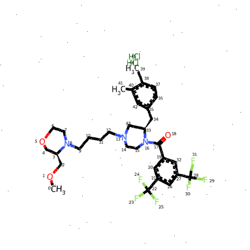 COC[C@H]1COCCN1CCCCN1CCN(C(=O)c2cc(C(F)(F)F)cc(C(F)(F)F)c2)[C@H](Cc2ccc(C)c(C)c2)C1.Cl.Cl